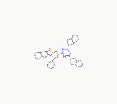 c1ccc(-c2cc(-c3nc(-c4ccc5ccccc5c4)nc(-c4ccc5ccccc5c4)n3)cc3oc4cc5ccccc5cc4c23)cc1